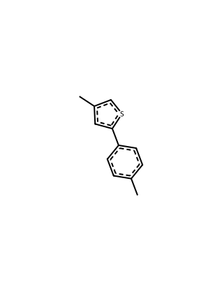 Cc1ccc(-c2cc(C)cs2)cc1